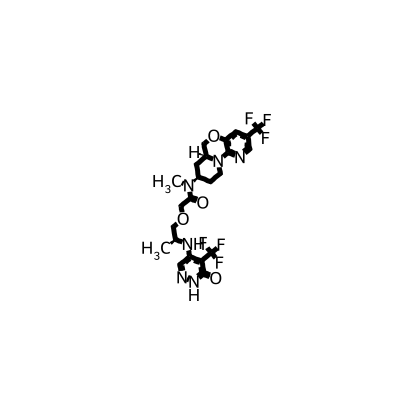 C[C@@H](COCC(=O)N(C)[C@@H]1CCN2c3ncc(C(F)(F)F)cc3OC[C@@H]2C1)Nc1cn[nH]c(=O)c1C(F)(F)F